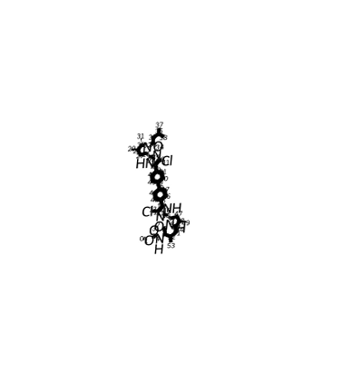 COC(=O)N[C@@H]1C(=O)N2[C@H](c3nc(Cl)c(-c4ccc(-c5ccc(-c6[nH]c([C@@H]7C[C@@H](C)[C@H](C)N7C(=O)CC(C)C)nc6Cl)cc5)cc4)[nH]3)C[C@@H](C)[C@@H]2CC1C